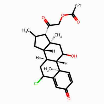 CCCC(=O)OCC(=O)[C@H]1C(C)C[C@H]2[C@@H]3CC(Cl)C4=CC(=O)C=C[C@]4(C)[C@H]3C(O)C[C@]12C